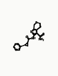 NC(=O)c1c(NC(=O)C2CC2c2ccccc2)sc2c1CCOC2